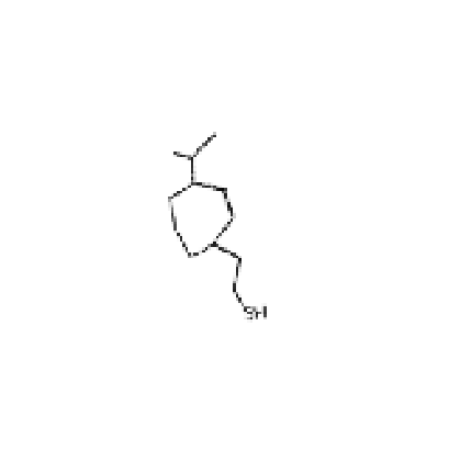 CC(C)C1CCCC(CCS)CC1